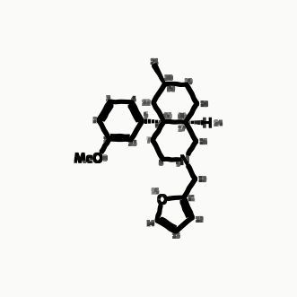 COc1cccc([C@@]23CCN(Cc4ccco4)C[C@@H]2CC[C@H](C)C3)c1